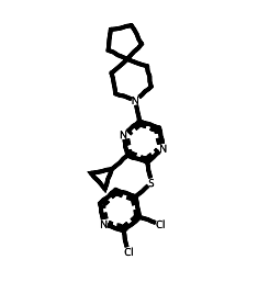 Clc1nccc(Sc2ncc(N3CCC4(CCCC4)CC3)nc2C2CC2)c1Cl